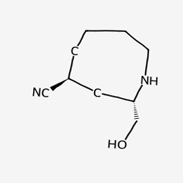 N#C[C@H]1CCCCN[C@H](CO)C1